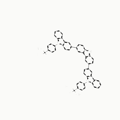 CC(C)(C)c1ccc(-n2c3ccccc3c3cc(-c4ccc5[nH]c6ccc(-c7ccc8c(c7)c7ccccc7n8-c7ccc(C(C)(C)C)cc7)cc6c5c4)ccc32)cc1